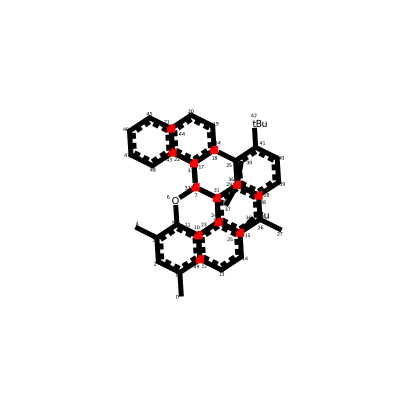 Cc1cc(C)c(OP(Oc2c(C)cccc2C(C)(C)C)c2ccccc2)c(-c2cc(C)cc(C)c2OP(Oc2c(C)cccc2C(C)(C)C)c2ccccc2)c1